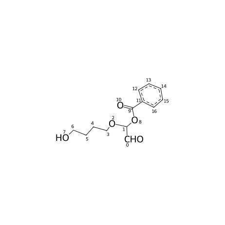 O=CC(OCCCCO)OC(=O)c1ccccc1